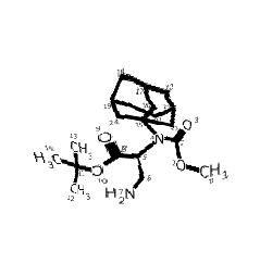 COC(=O)N([C@@H](CN)C(=O)OC(C)(C)C)C12CC3CC(CC(C3)C1)C2